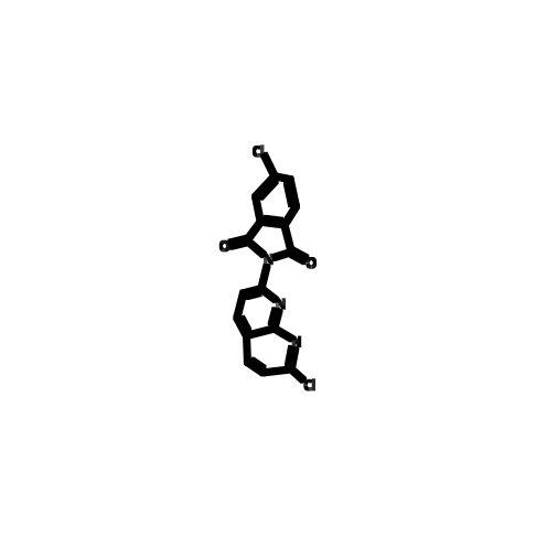 O=C1c2ccc(Cl)cc2C(=O)N1c1ccc2ccc(Cl)nc2n1